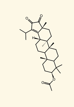 CC(=O)O[C@H]1CC[C@@]2(C)C(CC[C@]3(C)C2CC[C@@H]2C4=C(C(C)C)C(=O)C(=O)[C@]4(C)CC[C@]23C)C1(C)C